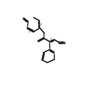 C=C/C=C\C(=C/C)CC(=C)/C(=C/NC)C1=CCCC=C1